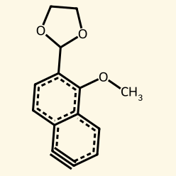 COc1c(C2OCCO2)ccc2c#cccc12